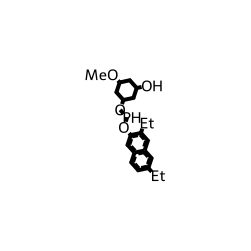 CCc1ccc2cc(OPOC3CC(O)CC(OC)C3)c(CC)cc2c1